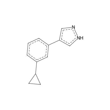 c1cc(-c2cn[nH]c2)cc(C2CC2)c1